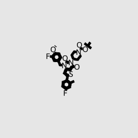 COc1ccc(Cn2c(=O)n(C3CCN(C(=O)OC(C)(C)C)CC3)c(=O)c3sc(-c4ccc(F)cc4C)cc32)cc1F